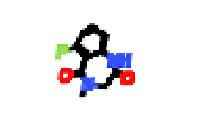 CN1CC(=O)Nc2cccc(F)c2C1=O